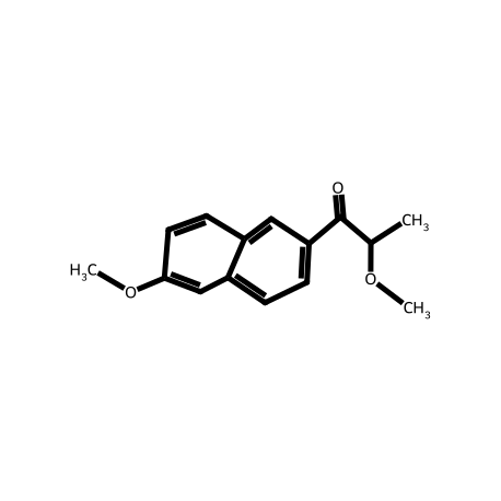 COc1ccc2cc(C(=O)C(C)OC)ccc2c1